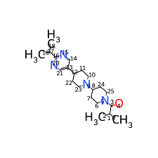 CC(C)C(=O)N1CCC(N2CCC(c3cnc(C(C)C)nc3)CC2)CC1